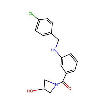 O=C(c1cccc(NCc2ccc(Cl)cc2)c1)N1CC(O)C1